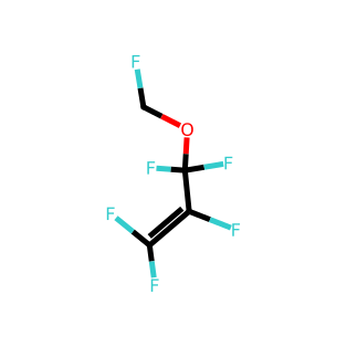 FCOC(F)(F)C(F)=C(F)F